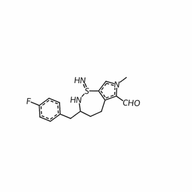 Cn1cc2c(c1C=O)CCC(Cc1ccc(F)cc1)NS2=N